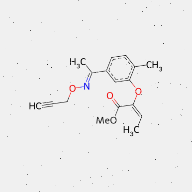 C#CCON=C(C)c1ccc(C)c(OC(=CC)C(=O)OC)c1